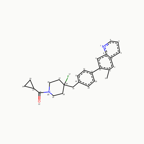 Cc1cc2cccnc2cc1-c1ccc(CC2(F)CCN(C(=O)C3CC3)CC2)cc1